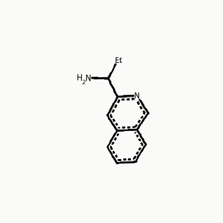 CCC(N)c1cc2ccccc2cn1